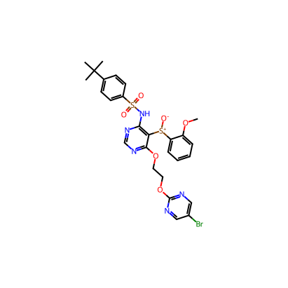 COc1ccccc1[S+]([O-])c1c(NS(=O)(=O)c2ccc(C(C)(C)C)cc2)ncnc1OCCOc1ncc(Br)cn1